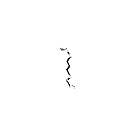 CCCSSCCCSSC